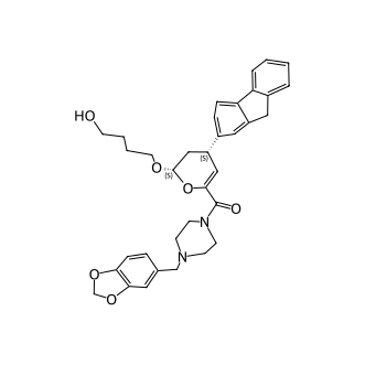 O=C(C1=C[C@@H](c2ccc3c(c2)Cc2ccccc2-3)C[C@@H](OCCCCO)O1)N1CCN(Cc2ccc3c(c2)OCO3)CC1